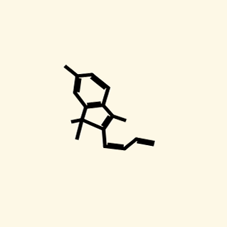 C=C/C=C\C1=C(C)c2ccc(C)cc2C1(C)C